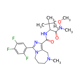 CON(C)C(=O)C(NC(=O)c1nc(-c2cc(F)c(F)cc2F)n2c1CN(C)CCC2)C(C)(C)C